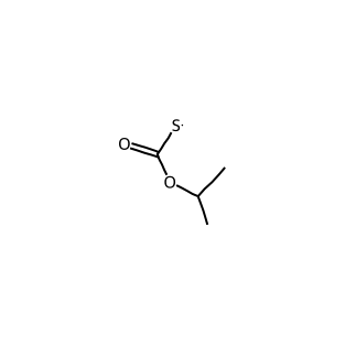 CC(C)OC(=O)[S]